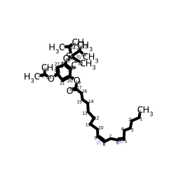 CCCCC/C=C\C/C=C\CCCCCCCC(=O)Oc1cc(OC(C)C)cc(O[Si](C(C)C)(C(C)C)C(C)C)c1